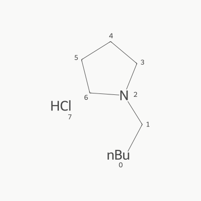 CCCCCN1CCCC1.Cl